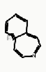 C1=CC2=CC=NC=CC23C=CNC3=C1